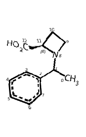 CC(c1ccccc1)N1CC[C@@H]1C(=O)O